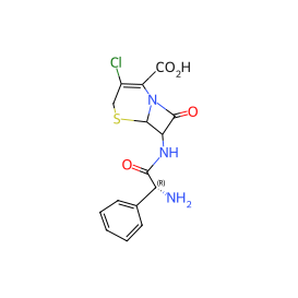 N[C@@H](C(=O)NC1C(=O)N2C(C(=O)O)=C(Cl)CSC12)c1ccccc1